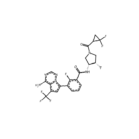 Nc1ncnn2c(-c3cccc(C(=O)N[C@@H]4CN(C(=O)C5CC5(F)F)C[C@@H]4F)c3F)cc(C(F)(F)F)c12